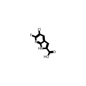 O=C(O)c1cc2cc(Cl)c(F)nc2[nH]1